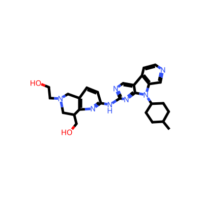 CC1CCC(n2c3cnccc3c3cnc(Nc4ccc5c(n4)C(CO)CN(CCO)C5)nc32)CC1